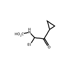 CCC(NC(=O)O)C(=O)C1CC1